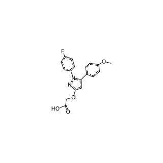 COc1ccc(-c2cc(OCC(=O)O)nn2-c2ccc(F)cc2)cc1